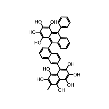 Cc1c(O)c(O)c2c(-c3ccc4c(-c5c6ccccc6c(-c6ccccc6)c6c(O)c(O)c(O)c(O)c56)cccc4c3)c(O)c(O)c(O)c2c1O